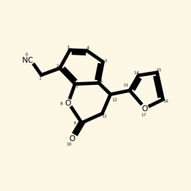 N#CCc1cccc2c1OC(=O)CC2c1ccco1